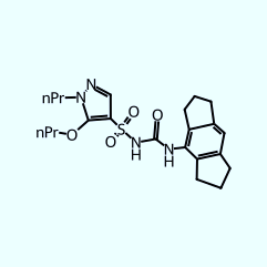 CCCOc1c(S(=O)(=O)NC(=O)Nc2c3c(cc4c2CCC4)CCC3)cnn1CCC